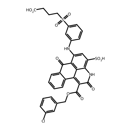 O=C(O)CCCS(=O)(=O)c1cccc(Nc2cc(S(=O)(=O)O)c3[nH]c(=O)c(C(=O)OCc4cccc(Cl)c4)c4c3c2C(=O)c2ccccc2-4)c1